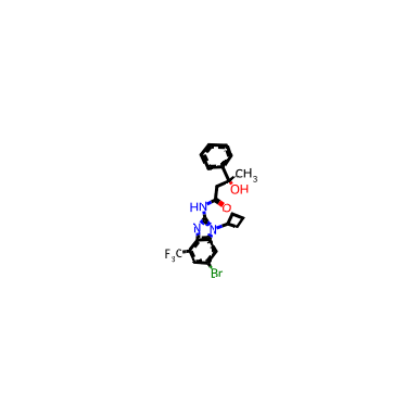 CC(O)(CC(=O)Nc1nc2c(C(F)(F)F)cc(Br)cc2n1C1CCC1)c1ccccc1